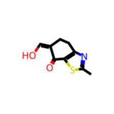 Cc1nc2c(s1)C(=O)/C(=C\O)CC2